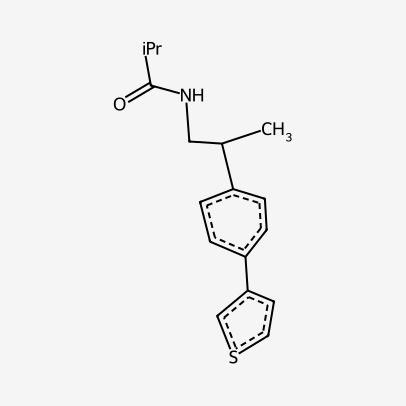 CC(C)C(=O)NCC(C)c1ccc(-c2ccsc2)cc1